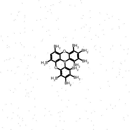 Bc1cc(B)c2c3c1Oc1c(B)c(B)c(B)c(B)c1B3c1c(B)c(B)c(B)c(B)c1O2